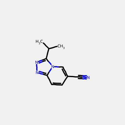 CC(C)c1nnc2ccc(C#N)cn12